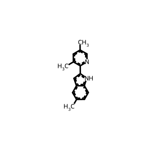 Cc1cnc(-c2cc3cc(C)ccc3[nH]2)c(C)c1